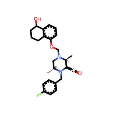 C[C@@H]1CN(COc2cccc3c2CCCC3O)[C@@H](C)C(=C=O)N1Cc1ccc(F)cc1